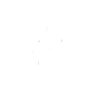 [CH2]C(F)(CF)CF